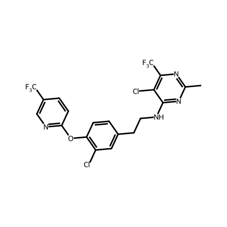 Cc1nc(NCCc2ccc(Oc3ccc(C(F)(F)F)cn3)c(Cl)c2)c(Cl)c(C(F)(F)F)n1